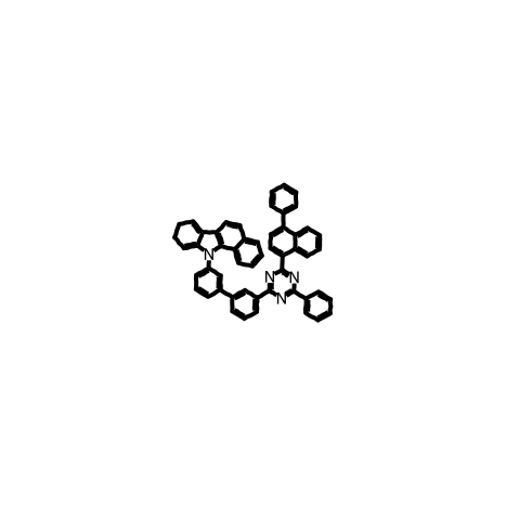 C1=c2c(n(-c3cccc(-c4cccc(-c5nc(-c6ccccc6)nc(-c6ccc(-c7ccccc7)c7ccccc67)n5)c4)c3)c3c2ccc2ccccc23)=CCC1